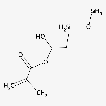 C=C(C)C(=O)OC(O)C[SiH2]O[SiH3]